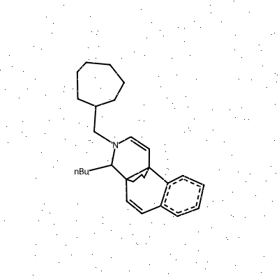 CCCCC1N(CC2CCCCCC2)C=CC23CCCC12C=Cc1ccccc13